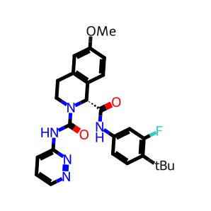 COc1ccc2c(c1)CCN(C(=O)Nc1cccnn1)[C@H]2C(=O)Nc1ccc(C(C)(C)C)c(F)c1